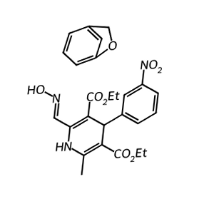 CCOC(=O)C1=C(C)NC(C=NO)=C(C(=O)OCC)C1c1cccc([N+](=O)[O-])c1.c1cc2cc(c1)OC2